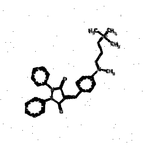 CN(CCC[N+](C)(C)C)c1ccc(C=C2C(=O)N(c3ccccc3)N(c3ccccc3)C2=O)cc1